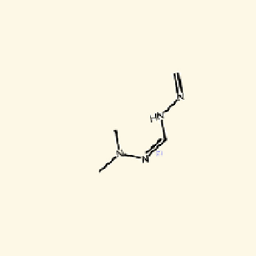 C=NN/C=N\N(C)C